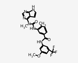 COc1cc(NC(=O)c2ccc(C)c(NC(=O)N(C)c3ncnc4[nH]ccc34)c2)cc(C(F)(F)F)c1